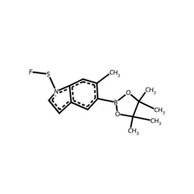 Cc1cc2c(ccn2SF)cc1B1OC(C)(C)C(C)(C)O1